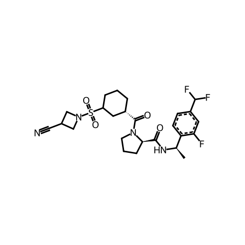 C[C@@H](NC(=O)[C@H]1CCCN1C(=O)[C@H]1CCCC(S(=O)(=O)N2CC(C#N)C2)C1)c1ccc(C(F)F)cc1F